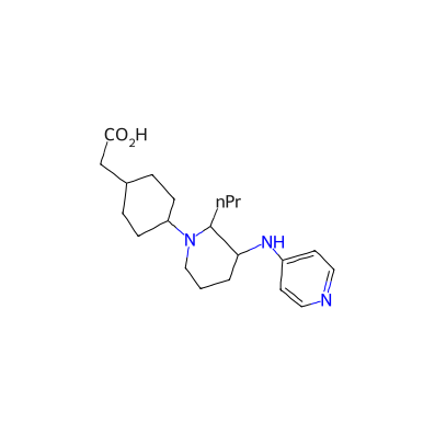 CCCC1C(Nc2ccncc2)CCCN1C1CCC(CC(=O)O)CC1